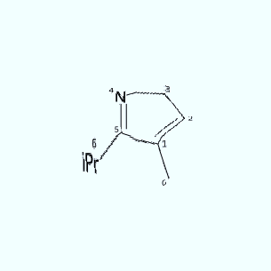 CC1=CCN=C1C(C)C